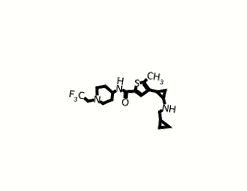 Cc1sc(C(=O)NC2CCN(CC(F)(F)F)CC2)cc1C1CC1NCC1CC1